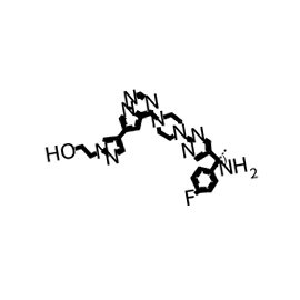 C[C@](N)(c1ccc(F)cc1)c1cnc(N2CCN(c3ncnn4cc(-c5cnn(CCO)c5)cc34)CC2)nc1